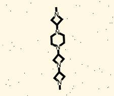 CN1CC(N2CCN(C3CN(C4CN(C)C4)C3)CC2)C1